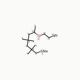 CSCC(C)(C)CC(C)(C)CC(C)OCCC(C)C